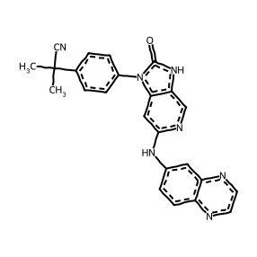 CC(C)(C#N)c1ccc(-n2c(=O)[nH]c3cnc(Nc4ccc5nccnc5c4)cc32)cc1